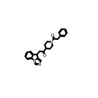 O=C(CC1c2ccccc2-n2cncc21)C1CCN(C(=O)Cc2ccccc2)CC1